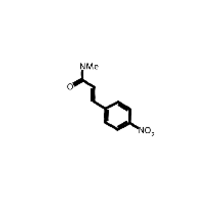 CNC(=O)C=Cc1ccc([N+](=O)[O-])cc1